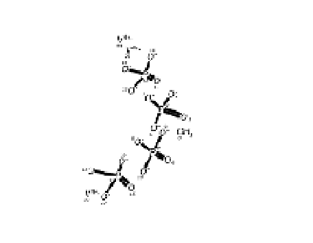 O.O=P([O-])([O-])[O-].O=P([O-])([O-])[O-].O=P([O-])([O-])[O-].O=P([O-])([O-])[O-].[V+4].[V+4].[V+4]